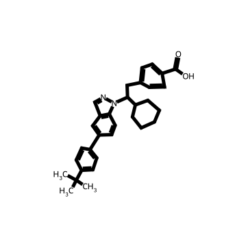 CC(C)(C)c1ccc(-c2ccc3c(cnn3C(Cc3ccc(C(=O)O)cc3)C3CCCCC3)c2)cc1